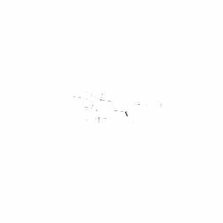 CCCCCCCCOC(=O)C1CC(C)(C)N(CCO)C(CC)(CC)C1